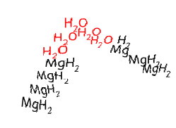 O.O.O.O.O.[MgH2].[MgH2].[MgH2].[MgH2].[MgH2].[MgH2].[MgH2]